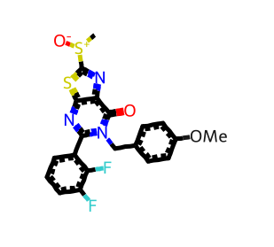 COc1ccc(Cn2c(-c3cccc(F)c3F)nc3sc([S+](C)[O-])nc3c2=O)cc1